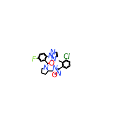 Cc1c(Cl)cccc1-c1noc(C2CCCN2C(=O)c2cc(F)ccc2-n2nccn2)n1